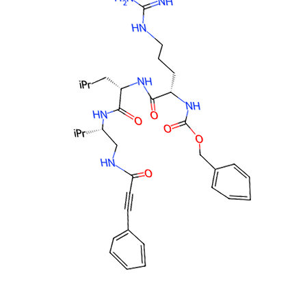 CC(C)C[C@H](NC(=O)[C@H](CCCNC(=N)N)NC(=O)OCc1ccccc1)C(=O)N[C@H](CNC(=O)C#Cc1ccccc1)C(C)C